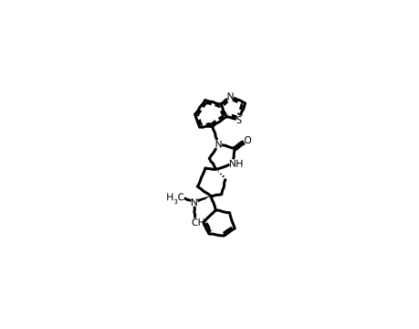 CN(C)[C@]1(C2C=CC=CC2)CC[C@]2(CC1)CN(c1cccc3ncsc13)C(=O)N2